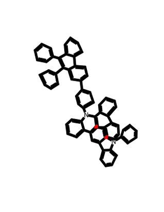 c1ccc(-c2c(-c3ccccc3)c3cc(-c4ccc(N(c5ccccc5-c5ccc6c(c5)c5ccccc5n6-c5ccccc5)c5cc6ccccc6c6ccccc56)cc4)ccc3c3ccccc23)cc1